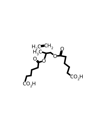 C=C.CC(COC(=O)CCCCC(=O)O)OC(=O)CCCCC(=O)O